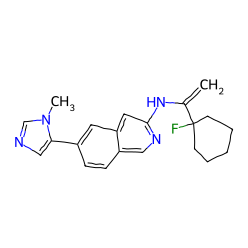 C=C(Nc1cc2cc(-c3cncn3C)ccc2cn1)C1(F)CCCCC1